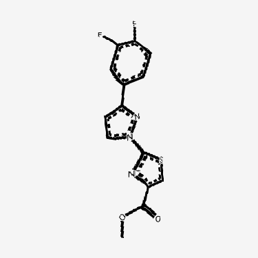 COC(=O)c1csc(-n2ccc(-c3ccc(F)c(F)c3)n2)n1